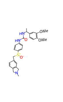 COc1ccc(C(C)NC(=O)Nc2ccc([S+]([O-])Cc3ccc4c(c3)CN(C)C4)cc2)cc1OC